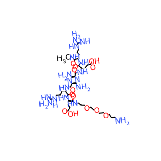 CNC(=O)[C@H](CCCNC(=N)N)NC(=O)[C@H](CCC(=O)O)NC(=O)c1nc(N)c(C(=O)N[C@@H](CCCNC(=N)N)C(=O)N[C@@H](CCC(=O)O)C(=O)NCCCOCCOCCOCCCN)nc1N